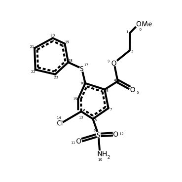 COCCOC(=O)c1cc(S(N)(=O)=O)c(Cl)cc1Sc1ccccc1